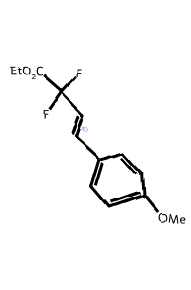 CCOC(=O)C(F)(F)/C=C/c1ccc(OC)cc1